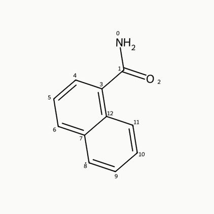 NC(=O)c1cccc2[c]cccc12